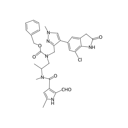 Cc1cc(C(=O)N(C)C(C)CN(Cc2nn(C)cc2-c2cc(Cl)c3c(c2)CC(=O)N3)C(=O)OCc2ccccc2)c(C=O)[nH]1